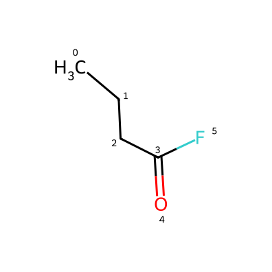 CCCC(=O)F